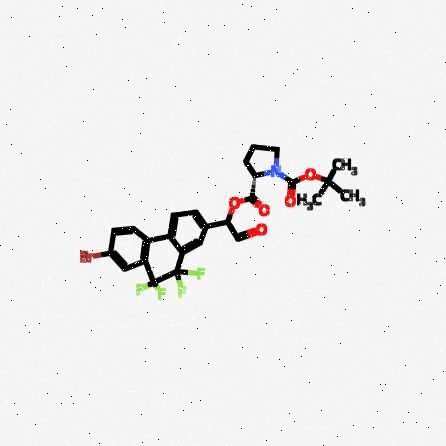 CC(C)(C)OC(=O)N1CCC[C@H]1C(=O)OC(C=O)c1ccc2c(c1)C(F)(F)C(F)(F)c1cc(Br)ccc1-2